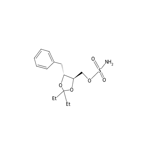 CCC1(CC)O[C@H](COS(N)(=O)=O)[C@@H](Cc2ccccc2)O1